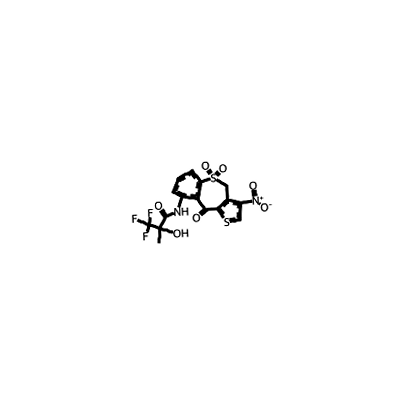 CC(O)(C(=O)Nc1cccc2c1C(=O)c1scc([N+](=O)[O-])c1CS2(=O)=O)C(F)(F)F